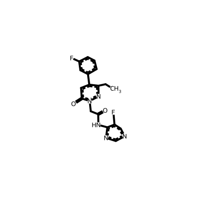 CCc1nn(CC(=O)Nc2ncncc2F)c(=O)cc1-c1cccc(F)c1